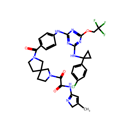 CC1=CC(NC(=O)C(=O)N2CCC3(CCN(C(=O)c4ccc(Nc5nc(NC6(c7ccc(Cl)cc7)CC6)nc(OCC(F)(F)F)n5)cc4)C3)C2)=NC1